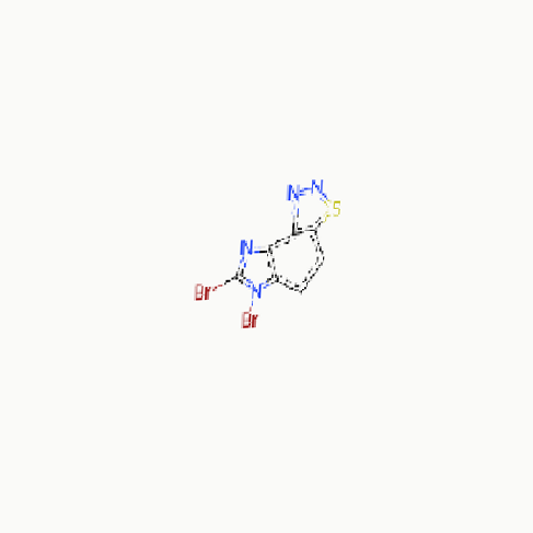 Brc1nc2c3nnsc3ccc2n1Br